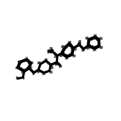 CCc1ccccc1CC1CCN(C(C)C(O)c2ccc(OCc3ccccc3)cc2)CC1